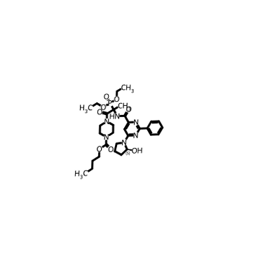 CCCCOC(=O)N1CCN(C(=O)C(C)(NC(=O)c2cc(N3CCC[C@@H]3O)nc(-c3ccccc3)n2)P(=O)(OCC)OCC)CC1